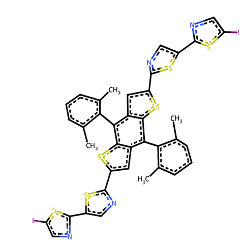 Cc1cccc(C)c1-c1c2cc(-c3ncc(-c4ncc(I)s4)s3)sc2c(-c2c(C)cccc2C)c2cc(-c3ncc(-c4ncc(I)s4)s3)sc12